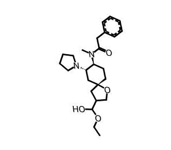 CCOC(O)C1CO[C@]2(CC[C@H](N(C)C(=O)Cc3ccccc3)[C@@H](N3CCCC3)C2)C1